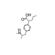 CCCC(C(=O)O)c1ccc(CC(C)NC)cc1